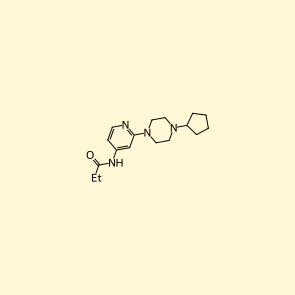 CCC(=O)Nc1ccnc(N2CCN(C3CCCC3)CC2)c1